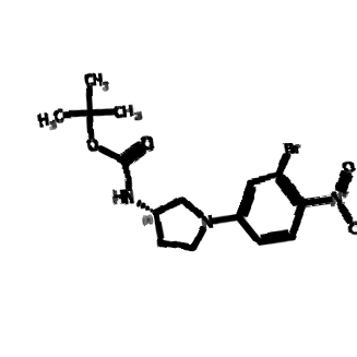 CC(C)(C)OC(=O)N[C@H]1CCN(c2ccc([N+](=O)[O-])c(Br)c2)C1